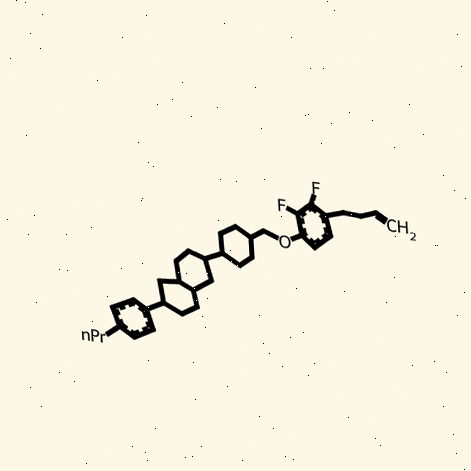 C=CCCc1ccc(OCC2CCC(C3CCC4CC(c5ccc(CCC)cc5)CCC4C3)CC2)c(F)c1F